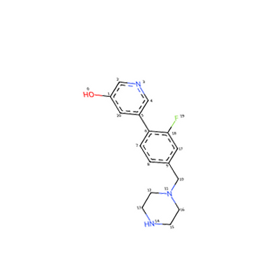 Oc1cncc(-c2ccc(CN3CCNCC3)cc2F)c1